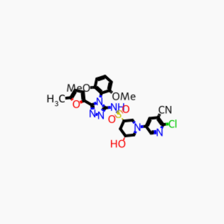 COc1cccc(OC)c1-n1c(NS(=O)(=O)[C@H]2C[C@@H](O)CN(c3cnc(Cl)c(C#N)c3)C2)nnc1-c1ccc(C)o1